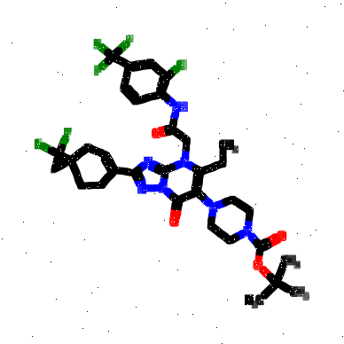 CCc1c(N2CCN(C(=O)OC(C)(C)C)CC2)c(=O)n2nc(C3=CCC4(CC3)CC4(F)F)nc2n1CC(=O)Nc1ccc(C(F)(F)F)cc1Cl